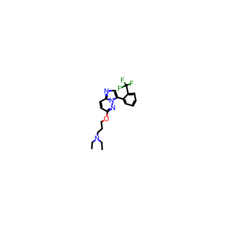 CCN(CC)CCCOc1ccc2ncc(-c3ccccc3C(F)(F)F)n2n1